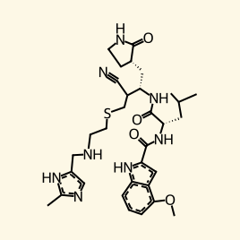 COc1cccc2[nH]c(C(=O)N[C@@H](CC(C)C)C(=O)N[C@@H](C[C@@H]3CCNC3=O)C(C#N)CSCCNCc3cnc(C)[nH]3)cc12